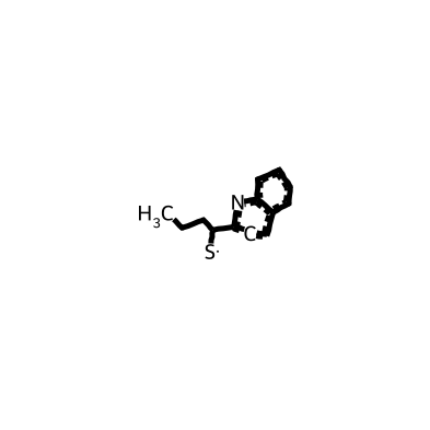 CCCC([S])c1ccc2ccccc2n1